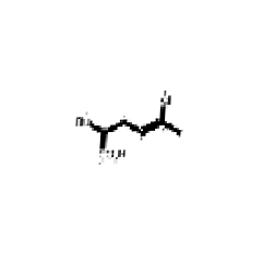 CCC(C)C(CC=C(C)Cl)C(=O)O